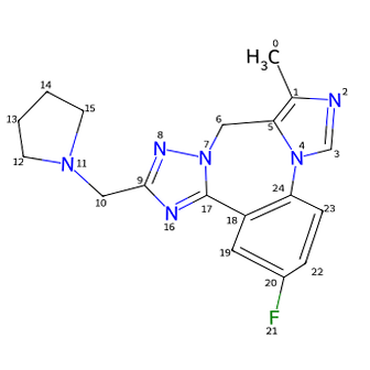 Cc1ncn2c1Cn1nc(CN3CCCC3)nc1-c1cc(F)ccc1-2